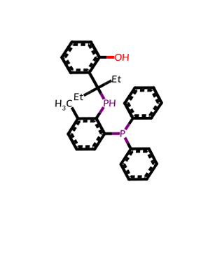 CCC(CC)(Pc1c(C)cccc1P(c1ccccc1)c1ccccc1)c1ccccc1O